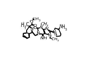 CCn1c(N2CCCC(N)C2)nc2c1c(=N)n(CC1=NC(C)(C(=O)OC)Cc3ccccc31)c(=O)n2C